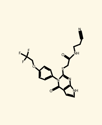 N#CCCNC(=O)CSc1nc2[nH]ccc2c(=O)n1-c1ccc(OCC(F)(F)F)cc1